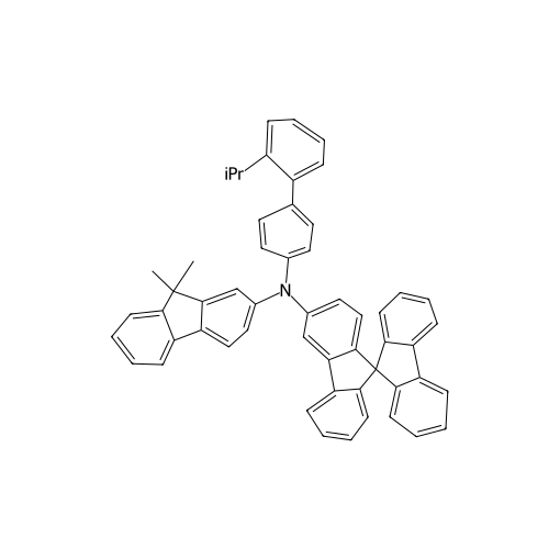 CC(C)c1ccccc1-c1ccc(N(c2ccc3c(c2)-c2ccccc2C32c3ccccc3-c3ccccc32)c2ccc3c(c2)C(C)(C)c2ccccc2-3)cc1